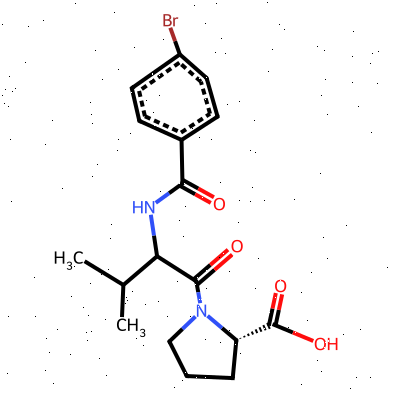 CC(C)C(NC(=O)c1ccc(Br)cc1)C(=O)N1CCC[C@H]1C(=O)O